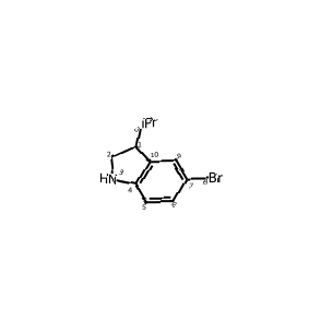 CC(C)C1CNc2ccc(Br)cc21